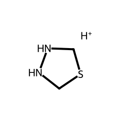 C1NNCS1.[H+]